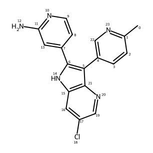 Cc1ccc(-c2c(-c3ccnc(N)c3)[nH]c3cc(Cl)cnc23)cn1